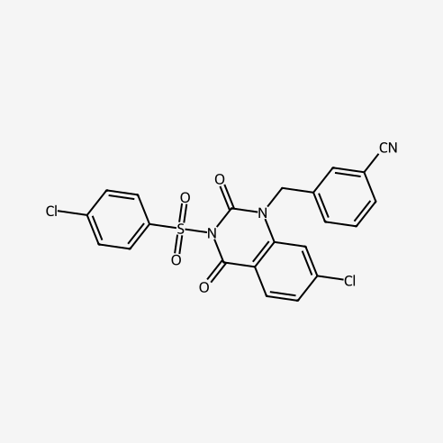 N#Cc1cccc(Cn2c(=O)n(S(=O)(=O)c3ccc(Cl)cc3)c(=O)c3ccc(Cl)cc32)c1